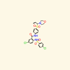 C=CC(N1CCOCC1)S(=O)(=O)c1ccc(NC(=O)c2cc(Cl)ccc2NS(=O)(=O)c2ccc(Cl)cc2)cc1